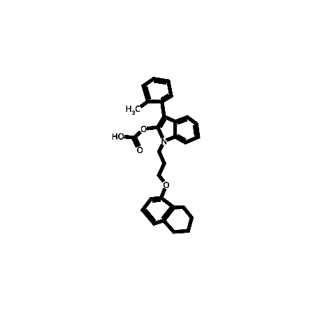 Cc1ccccc1-c1c(OC(=O)O)n(CCCOc2cccc3c2CCCC3)c2ccccc12